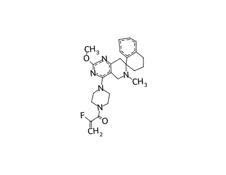 C=C(F)C(=O)N1CCN(c2nc(OC)nc3c2CN(C)C2(CCCc4ccccc42)C3)CC1